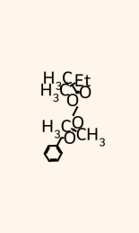 CCC(C)(C)C(=O)OCCOC(C)(C)OCc1ccccc1